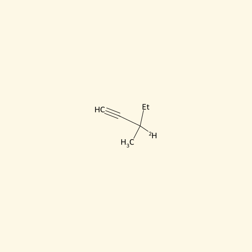 [2H]C(C)(C#C)CC